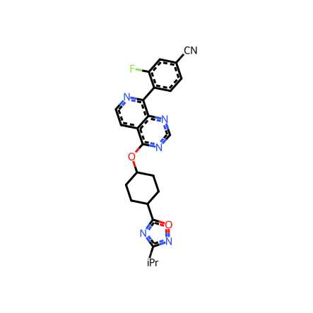 CC(C)c1noc(C2CCC(Oc3ncnc4c(-c5ccc(C#N)cc5F)nccc34)CC2)n1